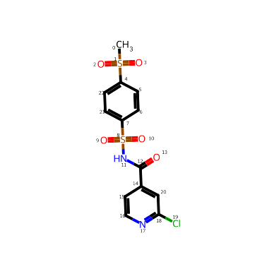 CS(=O)(=O)c1ccc(S(=O)(=O)NC(=O)c2ccnc(Cl)c2)cc1